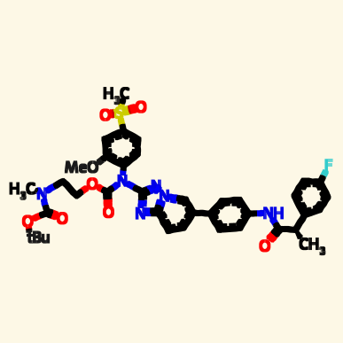 COc1cc(S(C)(=O)=O)ccc1N(C(=O)OCCN(C)C(=O)OC(C)(C)C)c1nc2ccc(-c3ccc(NC(=O)[C@H](C)c4ccc(F)cc4)cc3)cn2n1